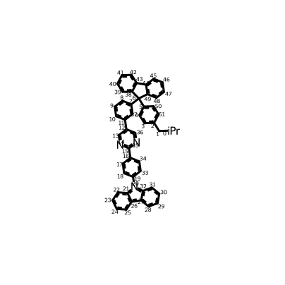 CC(C)Cc1ccc(C2(c3cccc(-c4cnc(-c5ccc(-n6c7ccccc7c7ccccc76)cc5)nc4)c3)c3ccccc3-c3ccccc32)cc1